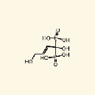 O=P(O)(O)C(O)(C=CCO)P(=O)(O)O